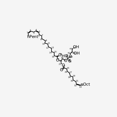 CCCCC/C=C\C/C=C\CCCCCCCCCCCC(=O)O[C@H](COC(=O)CCCCCCC/C=C\CCCCCCCC)COP(=O)(O)OC[C@@H](O)CO